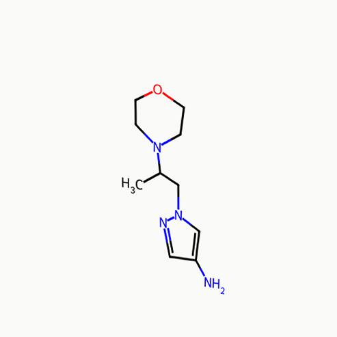 CC(Cn1cc(N)cn1)N1CCOCC1